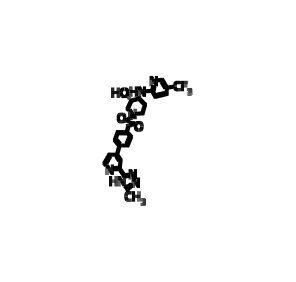 Cc1nnc(-c2cc(-c3ccc(S(=O)(=O)N4CC[C@@H](Nc5ccc(C(F)(F)F)cn5)[C@@H](O)C4)cc3)ccn2)[nH]1